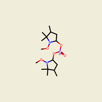 CON1C(O[PH](=O)OC2CC(C)C(C)(C)N2OC)CC(C)C1(C)C